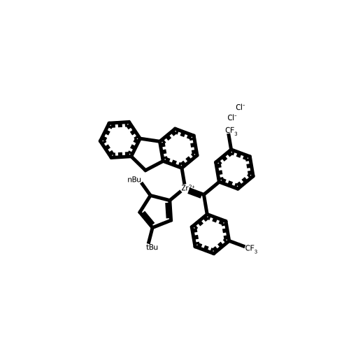 CCCCC1C=C(C(C)(C)C)C=[C]1[Zr+2](=[C](c1cccc(C(F)(F)F)c1)c1cccc(C(F)(F)F)c1)[c]1cccc2c1Cc1ccccc1-2.[Cl-].[Cl-]